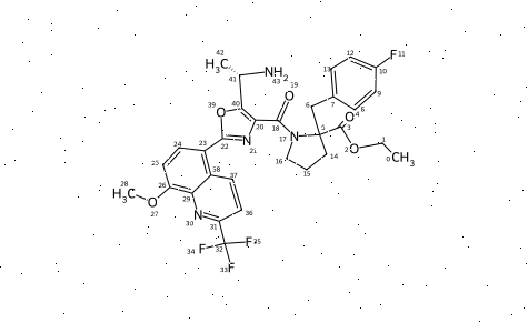 CCOC(=O)C1(Cc2ccc(F)cc2)CCCN1C(=O)c1nc(-c2ccc(OC)c3nc(C(F)(F)F)ccc23)oc1[C@H](C)N